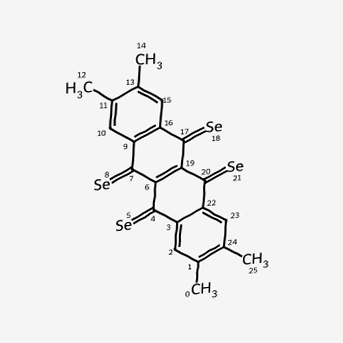 Cc1cc2c(=[Se])c3c(=[Se])c4cc(C)c(C)cc4c(=[Se])c=3c(=[Se])c2cc1C